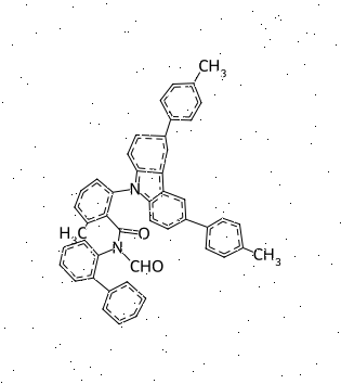 Cc1ccc(-c2ccc3c(c2)c2cc(-c4ccc(C)cc4)ccc2n3-c2cccc(C)c2C(=O)N(C=O)c2ccccc2-c2ccccc2)cc1